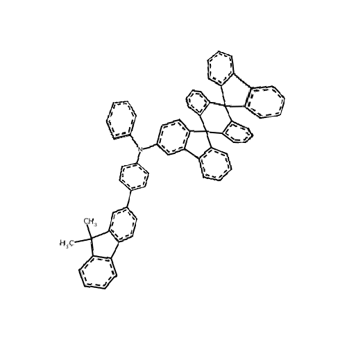 CC1(C)c2ccccc2-c2ccc(-c3ccc(N(c4ccccc4)c4ccc5c(c4)-c4ccccc4C54c5ccccc5C5(c6ccccc6-c6ccccc65)c5ccccc54)cc3)cc21